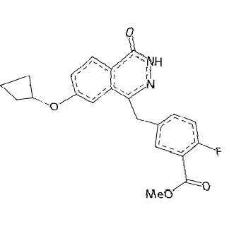 COC(=O)c1cc(Cc2n[nH]c(=O)c3ccc(OC4CCC4)cc23)ccc1F